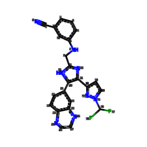 N#Cc1cccc(NCc2nc(-c3ccn(C(F)F)n3)c(-c3ccc4nccnc4c3)[nH]2)c1